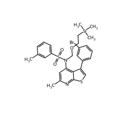 Cc1cccc(S(=O)(=O)N(COCC[Si](C)(C)C)c2cc(C)nc3scc(-c4cccc(Br)c4)c23)c1